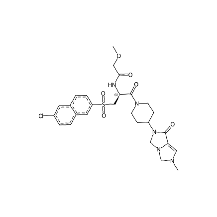 COCC(=O)N[C@H](CS(=O)(=O)c1ccc2cc(Cl)ccc2c1)C(=O)N1CCC(N2CN3CN(C)C=C3C2=O)CC1